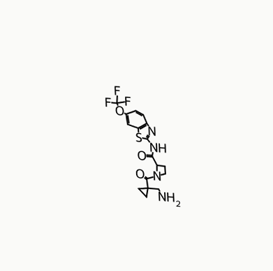 NCC1(C(=O)N2CCC2C(=O)Nc2nc3ccc(OC(F)(F)F)cc3s2)CC1